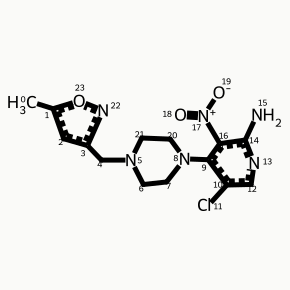 Cc1cc(CN2CCN(c3c(Cl)cnc(N)c3[N+](=O)[O-])CC2)no1